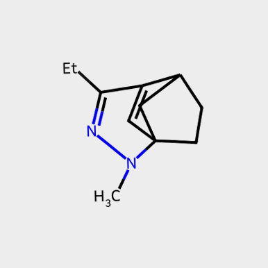 CCC1=NN(C)C23C=C1C(CC2)C3